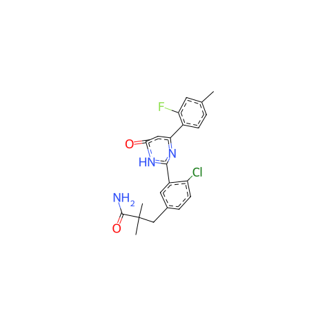 Cc1ccc(-c2cc(=O)[nH]c(-c3cc(CC(C)(C)C(N)=O)ccc3Cl)n2)c(F)c1